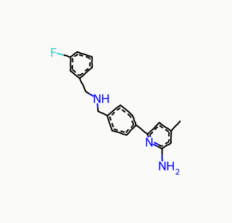 Cc1cc(N)nc(-c2ccc(CNCc3cccc(F)c3)cc2)c1